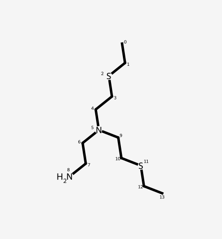 CCSCCN(CCN)CCSCC